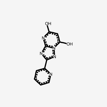 Oc1cc(O)n2nc(-c3ccccn3)nc2n1